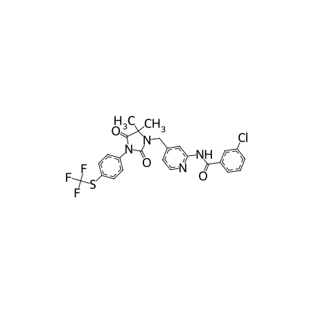 CC1(C)C(=O)N(c2ccc(SC(F)(F)F)cc2)C(=O)N1Cc1ccnc(NC(=O)c2cccc(Cl)c2)c1